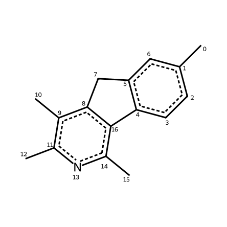 Cc1ccc2c(c1)Cc1c(C)c(C)nc(C)c1-2